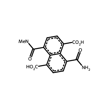 CNC(=O)c1ccc(C(=O)O)c2c(C(N)=O)ccc(C(=O)O)c12